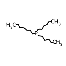 CCCCCCCP(CCCCCC)CCCCCC